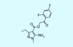 CCc1nn(C)c(N)c1C(=O)OCC(=O)c1ccc(F)cc1F